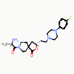 C[C@@H](N)C(=O)N1CCC2(CC1)C[C@H](CCN1CCN(c3ccc(F)cc3)CC1)OC2=O